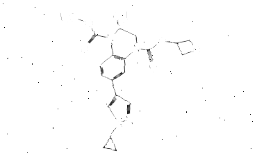 COC(=O)N1c2ccc(-c3cnn(C4CC4)c3)cc2N(C(=O)OC2COC2)C[C@@H]1C